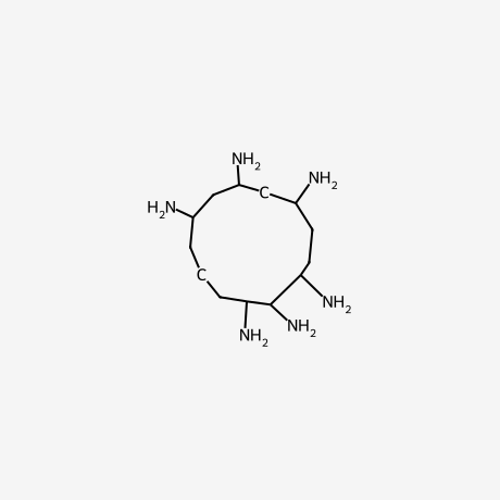 NC1CCCC(N)C(N)C(N)CCC(N)CC(N)C1